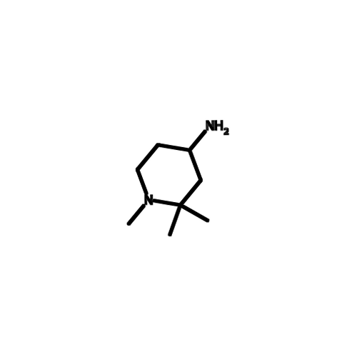 CN1CCC(N)CC1(C)C